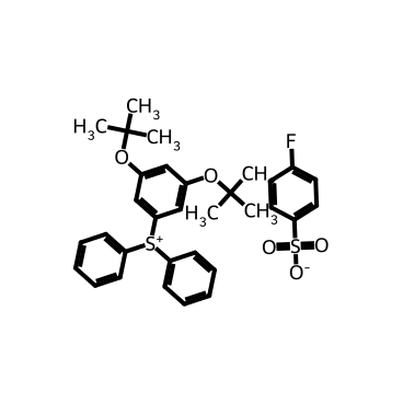 CC(C)(C)Oc1cc(OC(C)(C)C)cc([S+](c2ccccc2)c2ccccc2)c1.O=S(=O)([O-])c1ccc(F)cc1